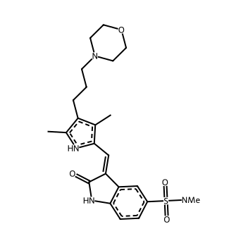 CNS(=O)(=O)c1ccc2c(c1)C(=Cc1[nH]c(C)c(CCCN3CCOCC3)c1C)C(=O)N2